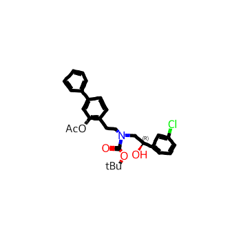 CC(=O)Oc1cc(-c2ccccc2)ccc1CCN(C[C@H](O)c1cccc(Cl)c1)C(=O)OC(C)(C)C